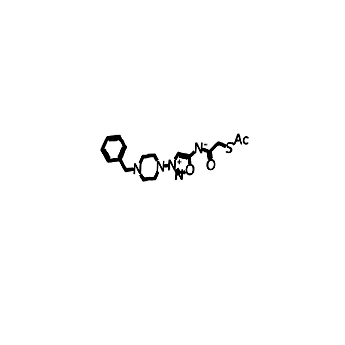 CC(=O)SCC(=O)[N-]c1c[n+](N2CCN(Cc3ccccc3)CC2)no1